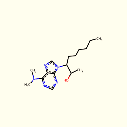 CCCCCCC(C(C)O)n1cnc2c(N(C)C)ncnc21